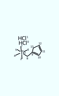 Cl.Cl.[CH3][Ti]([CH3])([CH3])([CH3])([CH3])[CH2]C1=CC=CC1